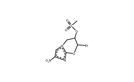 CCC1Oc2nc([N+](=O)[O-])cn2CC1OS(C)(=O)=O